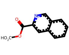 O=C(O)OC(=O)c1cc2ccccc2cn1